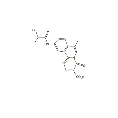 CCC(C)C(C)C(=O)Nc1ccc2c(C)cn3c(=O)c(C(=O)O)cnc3c2c1